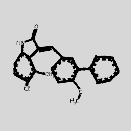 COc1ccc(/C=C2/C(=O)Nc3ccc(Cl)c(C)c32)cc1-c1ccccc1